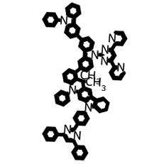 CC1(C)c2cc3c4c(n(-c5ccc(-c6nc(-c7ccccc7)cc(-c7ccccc7)n6)cc5)c3cc2N(c2ccccc2)c2cccc(-c3ccc5c(c3)c3cc(-c6ccc7c(c6)c6ccccc6n7-c6ccccc6)ccc3n5-c3nc(-c5ccccn5)cc(-c5ccccn5)n3)c21)=CCCC=4